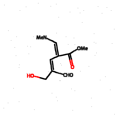 CN/C=C(\C=C(/C=O)CO)C(=O)OC